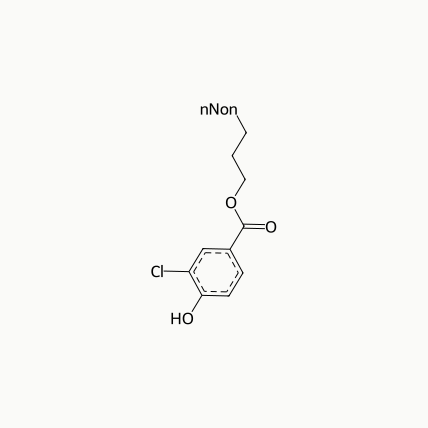 CCCCCCCCCCCCOC(=O)c1ccc(O)c(Cl)c1